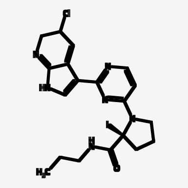 CCCNC(=O)[C@@]1(I)CCCN1c1ccnc(-c2c[nH]c3c2=CC(Cl)CN=3)n1